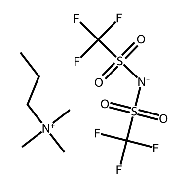 CCC[N+](C)(C)C.O=S(=O)([N-]S(=O)(=O)C(F)(F)F)C(F)(F)F